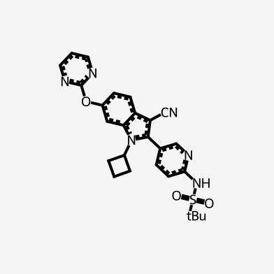 CC(C)(C)S(=O)(=O)Nc1ccc(-c2c(C#N)c3ccc(Oc4ncccn4)cc3n2C2CCC2)cn1